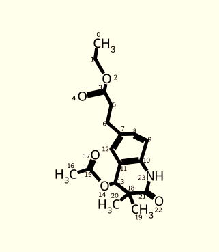 CCOC(=O)CCc1ccc2c(c1)C(OC(C)=O)C(C)(C)C(=O)N2